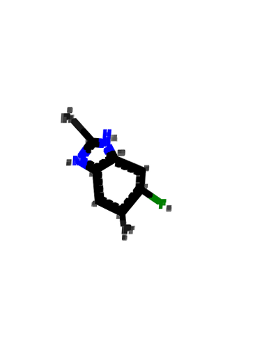 CC(C)c1nc2cc(C(C)C)c(F)cc2[nH]1